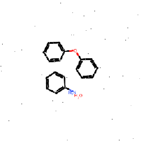 Nc1ccccc1.O.c1ccc(Oc2ccccc2)cc1